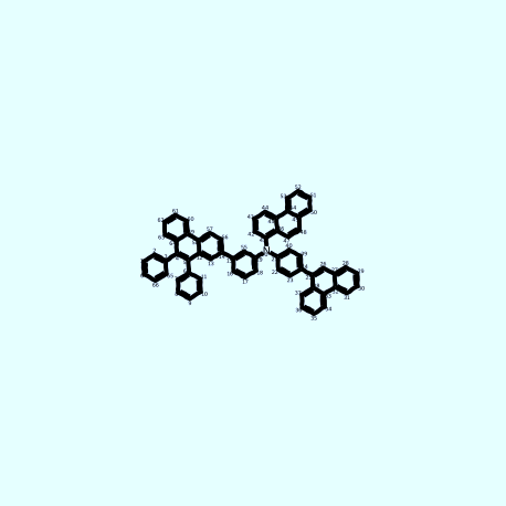 c1ccc(-c2c(-c3ccccc3)c3cc(-c4cccc(N(c5ccc(-c6cc7ccccc7c7ccccc67)cc5)c5cccc6c5ccc5ccccc56)c4)ccc3c3ccccc23)cc1